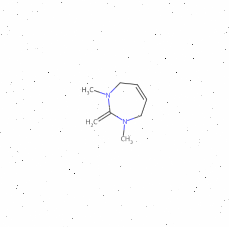 C=C1N(C)CC=CCN1C